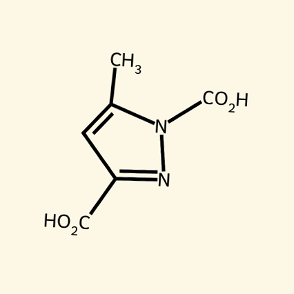 Cc1cc(C(=O)O)nn1C(=O)O